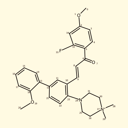 COc1ccc(C(=O)C=Cc2cc(-c3ccccc3OC)ccc2N2CC[N+](C)(C)CC2)c(F)c1